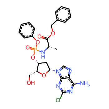 C[C@H](NP(=O)(Oc1ccccc1)O[C@@H]1C[C@H](n2cnc3c(N)nc(Cl)nc32)O[C@@H]1CO)C(=O)OCc1ccccc1